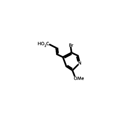 COc1cc(/C=C/C(=O)O)c(Br)cn1